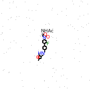 CC(=O)NC[C@H]1CN(c2ccc(-c3ccc(CNCc4cc(C)oc4C)cc3)c(F)c2)C(=O)O1